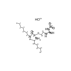 CCCCCCCN(CCCCCCC)C(=O)[C@@H](N)CCCNC(=N)N[N+](=O)[O-].Cl